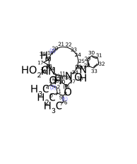 C=C(/C=C\C)/C(=C\C)O[C@@H]1C[C@H]2C(=O)N[C@]3(C(=O)O)C[C@H]3/C=C\CCCCC[C@H](Nc3ccccc3)C(=O)N2C1